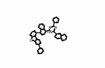 c1ccc(C2=NC(c3ccc(-c4cccc5oc6cc(-c7ccccc7)ccc6c45)c4ccccc34)NC(c3ccc4ccccc4c3)=N2)cc1